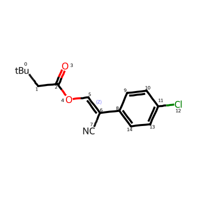 CC(C)(C)CC(=O)O/C=C(\C#N)c1ccc(Cl)cc1